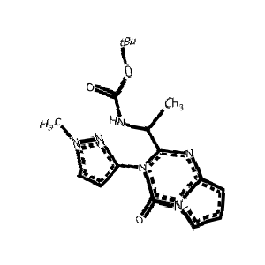 CC(NC(=O)OC(C)(C)C)c1nc2cccn2c(=O)n1-c1ccn(C)n1